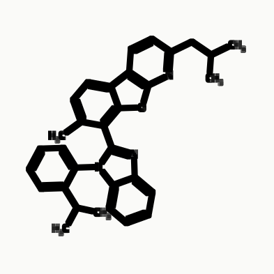 Cc1ccc2c(oc3nc(CC(C)C)ccc32)c1-c1nc2ccccc2n1-c1ccccc1C(C)C